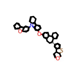 C1=CC2=C(CC1)c1ccc(Oc3ccc4c5c(n(-c6ccc7oc8ccccc8c7c6)c4c3)C=CCC5)cc1CC[C@H]2c1ccc2c(c1)C1C=COCC1S2